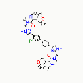 C[C@H]1CC[C@@H](c2nc(-c3ccc(-c4ccc(-c5c[nH]c([C@@H]6CC[C@H](C)N6C(=O)C(C6CCOC7(CC7)C6)N(C)C(=O)O)n5)c(F)c4)cc3)c[nH]2)N1C(=O)C(C1CCOC2(CC2)C1)N(C)C(=O)O